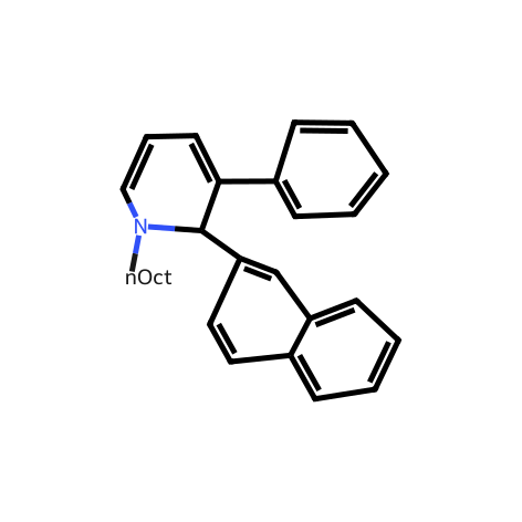 CCCCCCCCN1C=CC=C(c2ccccc2)C1c1ccc2ccccc2c1